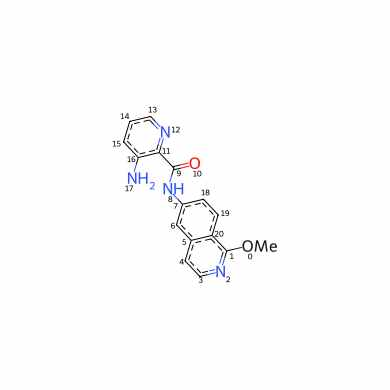 COc1nccc2cc(NC(=O)c3ncccc3N)ccc12